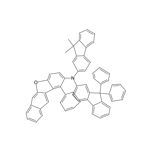 CC1(C)c2ccccc2-c2ccc(N(c3ccc4c(c3)C(c3ccccc3)(c3ccccc3)c3ccccc3-4)c3ccc4oc5cc6ccccc6cc5c4c3-c3ccccc3)cc21